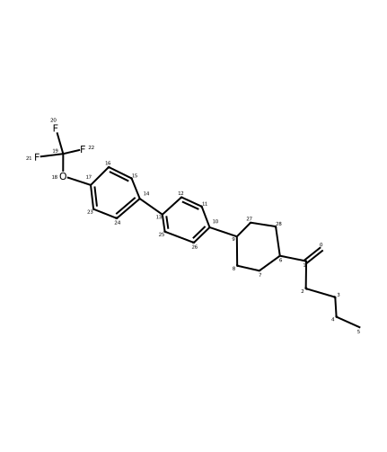 C=C(CCCC)C1CCC(c2ccc(-c3ccc(OC(F)(F)F)cc3)cc2)CC1